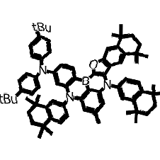 Cc1cc2c3c(c1)N(c1ccc4c(c1)C(C)(C)CCC4(C)C)c1c(oc4cc5c(cc14)C(C)(C)CCC5(C)C)B3c1ccc(N(c3ccc(C(C)(C)C)cc3)c3ccc(C(C)(C)C)cc3)cc1N2c1ccc2c(c1)C(C)(C)CCC2(C)C